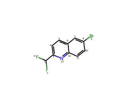 FC(F)c1ccc2cc(Br)ccc2n1